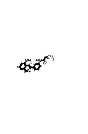 C=CC(=O)Nc1cccc(-c2cc3c(N)cccc3cn2)c1